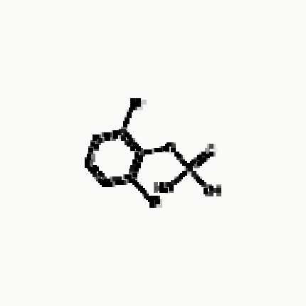 CC(C)c1cccc(C(C)C)c1OP(=O)(O)O